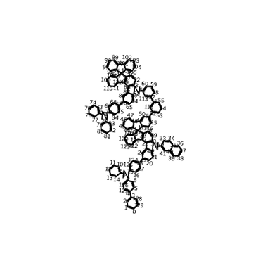 c1ccc(-c2ccc(N(c3ccccc3)c3ccc(-c4ccc5c(c4)c4c6c(ccc4n5-c4ccc5ccccc5c4)C4(c5ccccc5-c5cc(-c7cccc(-c8cccc(-n9c%10ccc(-c%11ccc(N(c%12ccccc%12)c%12ccccc%12)cc%11)cc%10c%10c%11c(ccc%109)C9(c%10ccccc%10-c%10ccccc%109)c9ccccc9-%11)c8)c7)ccc54)c4ccccc4-6)cc3)cc2)cc1